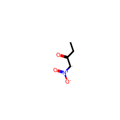 CCC(=O)[CH][N+](=O)[O-]